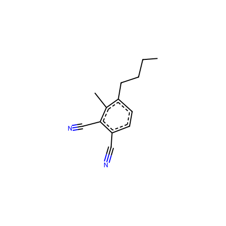 CCCCc1ccc(C#N)c(C#N)c1C